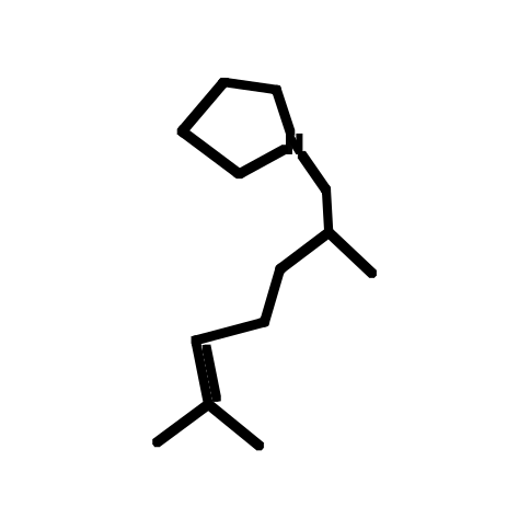 CC(C)=CCCC(C)CN1CCCC1